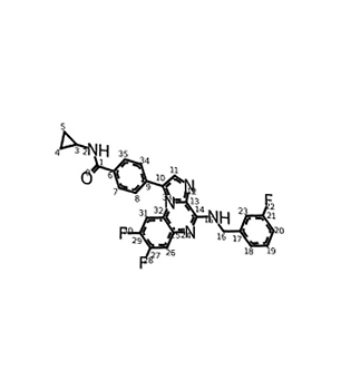 O=C(NC1CC1)c1ccc(-c2cnc3c(NCc4cccc(F)c4)nc4cc(F)c(F)cc4n23)cc1